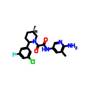 Cc1cc(NC(=O)C(=O)N2C[C@@H](C)CCC2c2cc(F)cc(Cl)c2)cnc1N